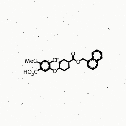 COc1cc(C(F)(F)F)c(OC2CCC(C(=O)OCc3cccc4ccccc34)CC2)cc1C(=O)O